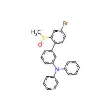 C[S+]([O-])c1cc(Br)ccc1-c1cccc(N(c2ccccc2)c2ccccc2)c1